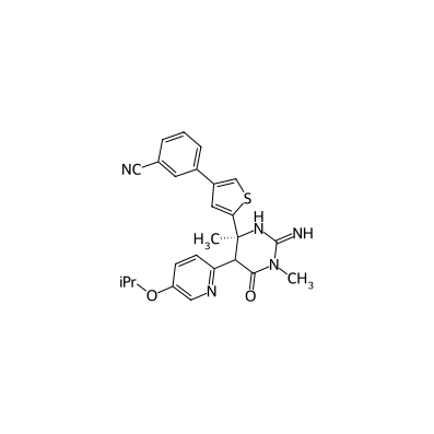 CC(C)Oc1ccc(C2C(=O)N(C)C(=N)N[C@]2(C)c2cc(-c3cccc(C#N)c3)cs2)nc1